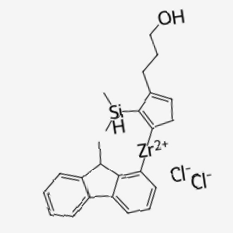 CC1c2ccccc2-c2ccc[c]([Zr+2][C]3=C([SiH](C)C)C(CCCO)=CC3)c21.[Cl-].[Cl-]